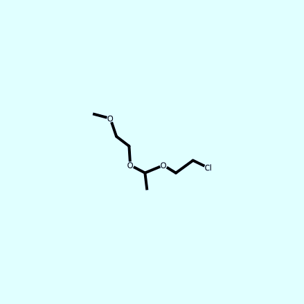 COCCOC(C)OCCCl